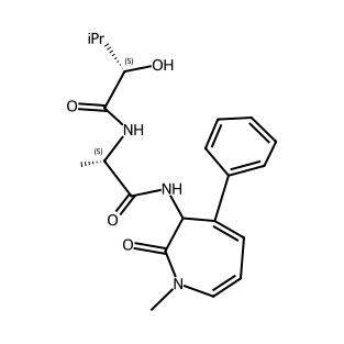 CC(C)[C@H](O)C(=O)N[C@@H](C)C(=O)NC1C(=O)N(C)C=CC=C1c1ccccc1